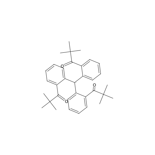 CC(C)(C)C(=O)c1ccccc1[C](c1ccccc1C(=O)C(C)(C)C)c1ccccc1C(=O)C(C)(C)C